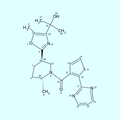 Cc1oc([C@@H]2CC[C@@H](C)N(C(=O)c3ccsc3-c3ncccn3)C2)nc1C(C)(C)O